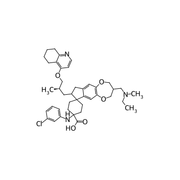 CCN(C)CC1COc2cc3c(cc2OC1)C1(CCC(Nc2cccc(Cl)c2)(C(=O)O)CC1)C(C[C@@H](C)COc1ccnc2c1CCCC2)C3